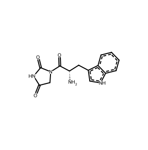 N[C@@H](Cc1c[nH]c2ccccc12)C(=O)N1CC(=O)NC1=O